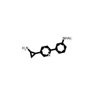 CC(=O)Nc1cccc(-c2ccc(C3CC3N)cn2)c1